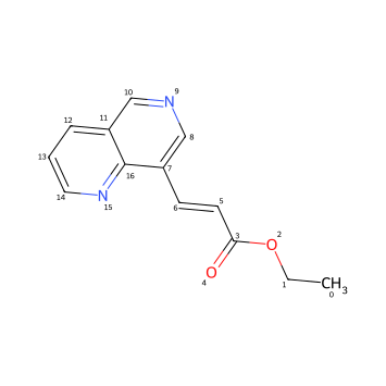 CCOC(=O)C=Cc1cncc2cccnc12